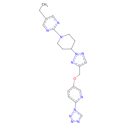 CCc1cnc(N2CCC(n3ncc(COc4ccc(-n5cnnn5)nc4)n3)CC2)nc1